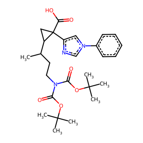 CC(CCN(C(=O)OC(C)(C)C)C(=O)OC(C)(C)C)C1CC1(C(=O)O)c1cn(-c2ccccc2)cn1